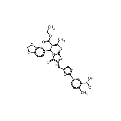 CCOC(=O)C1=C(C)N=c2s/c(=C\c3ccc(-c4ccc(C)c([N+](=O)O)c4)o3)c(=O)n2C1c1ccc2c(c1)OCO2